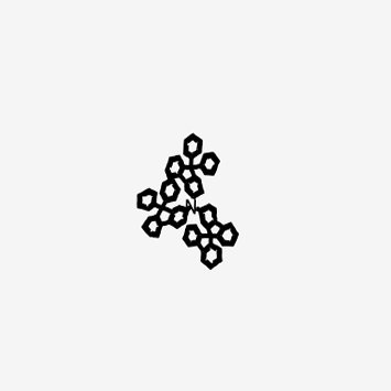 c1ccc(C2(c3ccccc3)c3ccccc3-c3cc(N(c4ccc5c(c4)C(c4ccccc4)(c4ccccc4)c4ccccc4-5)c4ccc5c(c4)C4(c6ccccc6-c6ccccc64)c4ccccc4-5)ccc32)cc1